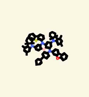 Cc1cc(C)c2c(c1)N(c1ccc3c(c1)N(c1cccc4c1sc1ccccc14)c1cc(N4c5cc(C)cc(C)c5C5(C)CCCCC45C)cc4c1B3c1cc(-c3ccccc3)ccc1N4c1ccc3c(c1)oc1ccccc13)C1(C)CCCCC21C